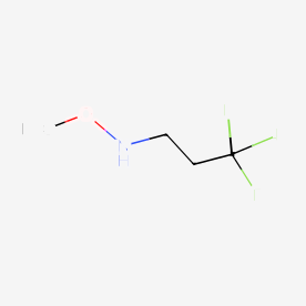 CONCCC(F)(F)F